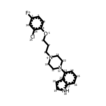 Fc1ccc(OCCCN2CCN(c3cccc4[nH]ccc34)CC2)c(Cl)c1